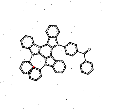 O=C(c1ccccc1)c1ccc(-n2c3ccccc3c3c4c5ccccc5n(-c5ccccc5)c4c4c(c5ccccc5n4-c4ccccc4)c32)nc1